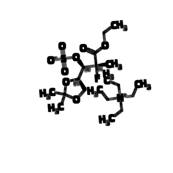 CCOC(=O)[C@](C)(F)[C@H](OS(=O)(=O)[O-])[C@H]1COC(C)(C)O1.CC[N+](CC)(CC)CC